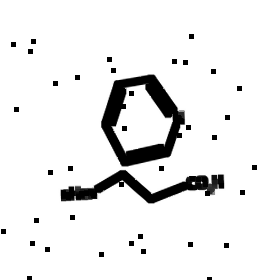 CCCCCCCCC(=O)O.c1ccncc1